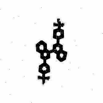 FC(F)(F)c1ccc(-c2cc(-c3cc(-c4ccc(C(F)(F)F)cc4)cc4ccccc34)c3ccccc3c2)cc1